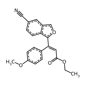 CCOC(=O)C=C(c1ccc(OC)cc1)c1occ2cc(C#N)ccc12